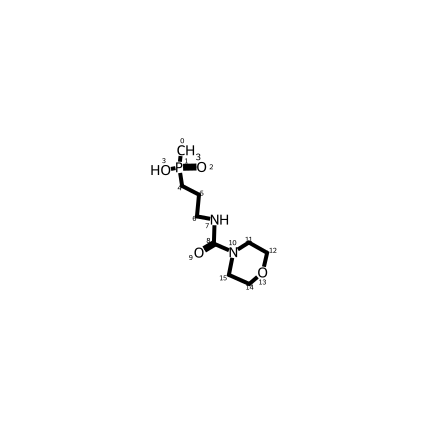 CP(=O)(O)CCCNC(=O)N1CCOCC1